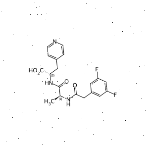 C[C@H](NC(=O)Cc1cc(F)cc(F)c1)C(=O)N[C@@H](Cc1ccncc1)C(=O)O